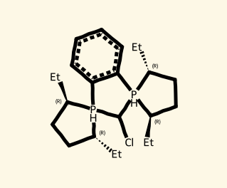 CC[C@@H]1CC[C@@H](CC)[PH]12c1ccccc1[PH]1(C2Cl)[C@H](CC)CC[C@H]1CC